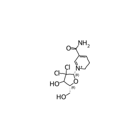 NC(=O)C1=CCC[N+]([C@@H]2O[C@H](CO)C(O)C2(Cl)Cl)=C1